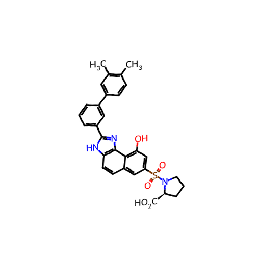 Cc1ccc(-c2cccc(-c3nc4c(ccc5cc(S(=O)(=O)N6CCC[C@H]6C(=O)O)cc(O)c54)[nH]3)c2)cc1C